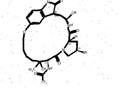 CC(C)[C@@H]1C[C@H]2C(=O)NC(C#N)C[C@H]3C(=O)Nc4ccc(cc43)OCCCCC(C)(C)[C@H](NC(=O)C(F)(F)F)C(=O)N2C1